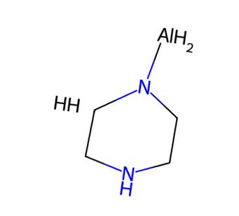 [AlH2][N]1CCNCC1.[HH]